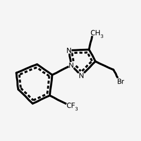 Cc1nn(-c2ccccc2C(F)(F)F)nc1CBr